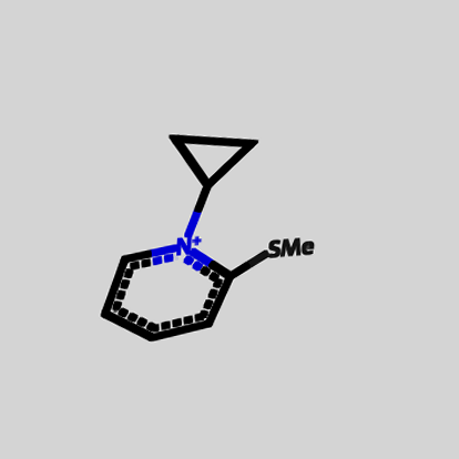 [CH2]Sc1cccc[n+]1C1CC1